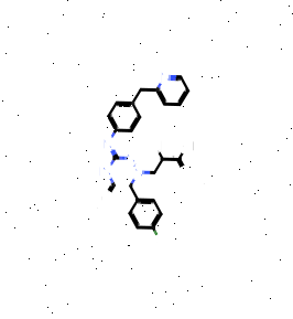 C=CN/C(=N/c1ccc(Cc2ccccn2)cc1)NN(Cc1ccc(Cl)cc1)CC(C)C(=C)C